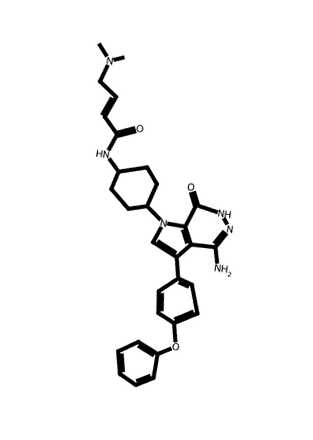 CN(C)CC=CC(=O)NC1CCC(n2cc(-c3ccc(Oc4ccccc4)cc3)c3c(N)n[nH]c(=O)c32)CC1